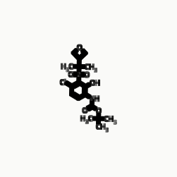 CC(C)(C)OC(=O)Nc1ccc(Cl)c(S(=O)(=O)C(C)(C)C2COC2)c1O